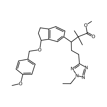 CCn1nnc(CCC(c2ccc3c(c2)C(OCc2ccc(OC)cc2)CC3)C(C)(C)C(=O)OC)n1